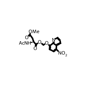 COC(=O)C[C@H](NC(C)=O)C(=O)OCOc1ccc([N+](=O)[O-])c2cccnc12